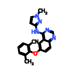 Cc1cccc(C#N)c1Oc1ccc2ncnc(Nc3ccn(C)n3)c2c1